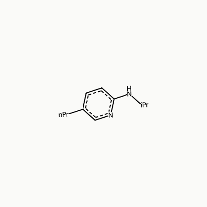 CCCc1ccc(NC(C)C)nc1